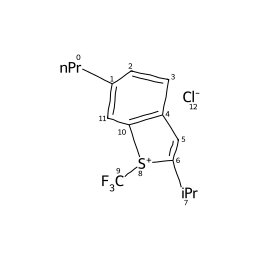 CCCc1ccc2cc(C(C)C)[s+](C(F)(F)F)c2c1.[Cl-]